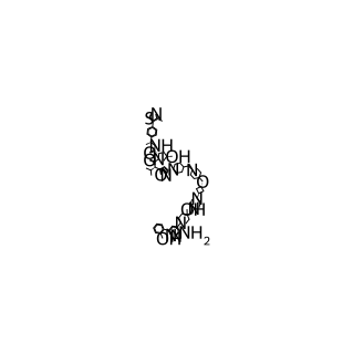 Cc1ncsc1-c1ccc([C@H](C)NC(=O)[C@@H]2C[C@@H](O)CN2C(=O)[C@@H](c2cc(N3CCC(CN4CCC(O[C@H]5C[C@H](N6CCN(CC7(O)CCN(c8cc(-c9ccccc9O)nnc8N)CC7)CC6)C5)CC4)CC3)no2)C(C)C)cc1